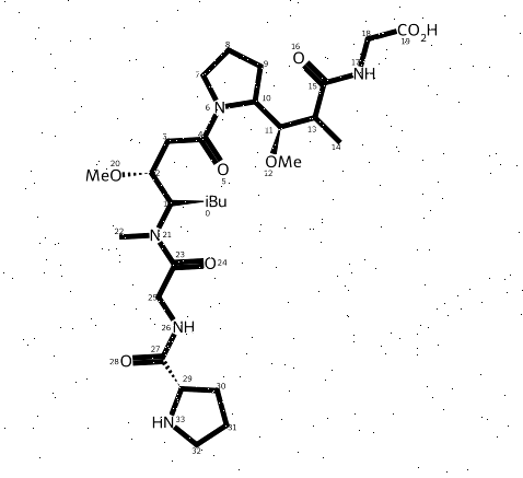 CC[C@H](C)C([C@@H](CC(=O)N1CCCC1[C@H](OC)C(C)C(=O)NCC(=O)O)OC)N(C)C(=O)CNC(=O)[C@@H]1CCCN1